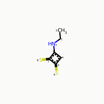 CCNc1cc(=S)c1=S